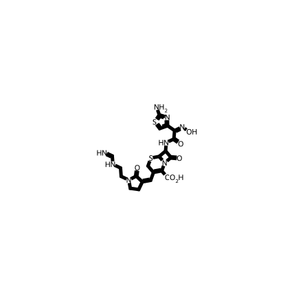 N=CNCCN1CCC(=CC2=C(C(=O)O)N3C(=O)C(NC(=O)/C(=N\O)c4csc(N)n4)C3SC2)C1=O